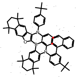 Cc1cc2c3c(c1)N(c1ccc(C(C)(C)C)cc1)c1c(oc4cc5c(cc14)C(C)(C)CCC5(C)C)B3c1cc3c(cc1N2c1ccc(C(C)(C)C)cc1-c1cccc2ccccc12)C(C)(C)CCC3(C)C